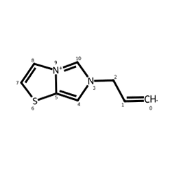 [CH]=CCn1cc2scc[n+]2c1